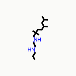 CCCNCCNCC(C)(C)CCC(C)CC(C)C